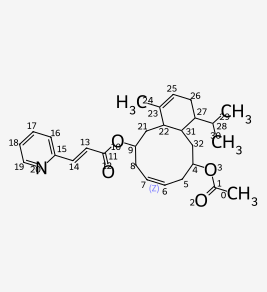 CC(=O)OC1C/C=C\CC(OC(=O)C=Cc2ccccn2)CC2C(C)=CCC(C(C)C)C2C1